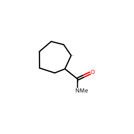 CNC(=O)C1[CH]CCCCC1